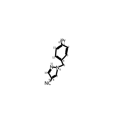 CC(C)c1ccc(Cn2cc(C#N)cn2)cc1